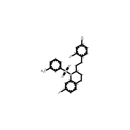 Cc1cccc(S(=O)(=O)N2c3cc(F)ccc3CCC2CCc2ccc(Cl)cc2F)c1